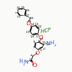 Cl.NC(=O)COc1ccc(Oc2ccc(OCc3ccccc3)cc2)c(N)c1